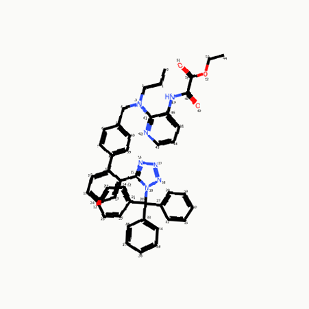 CCCN(Cc1ccc(-c2ccccc2-c2nnnn2C(c2ccccc2)(c2ccccc2)c2ccccc2)cc1)c1ncccc1NC(=O)C(=O)OCC